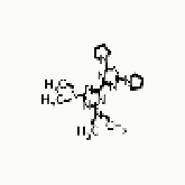 CCN(CC)c1nc(-c2nc(N3CCCC3)nc(N3CCCC3)n2)nc(N(CC)CC)n1